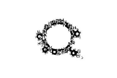 CCC[C@H]1C(=O)NC2(CCCC2)C(=O)N(C)[C@@H](C2CCCCC2)C(=O)N(C)[C@H](C(=O)N2CCCCC2)CC(=O)N(C)[C@@H](CC(C)C)C(=O)N[C@@H]([C@@H](C)CC)C(=O)N(C)[C@@H](C)C(=O)N2CC[C@H]2C(=O)N(C)[C@@H](CC2CCCCC2)C(=O)N(C)CC(=O)N[C@@H](CCc2ccc(C(F)(F)F)c(Cl)c2)C(=O)N1C